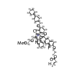 C=CC(=O)OCCCOc1ccc2cc(C(=O)Oc3ccc(OCc4ccc(-c5ccccc5)cc4)c(Cl)c3/C=N/N(COCCOC)c3nc4ccccc4s3)ccc2c1F